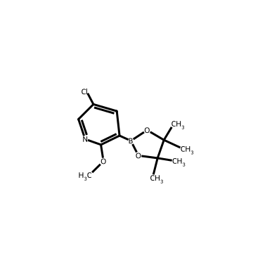 COc1ncc(Cl)cc1B1OC(C)(C)C(C)(C)O1